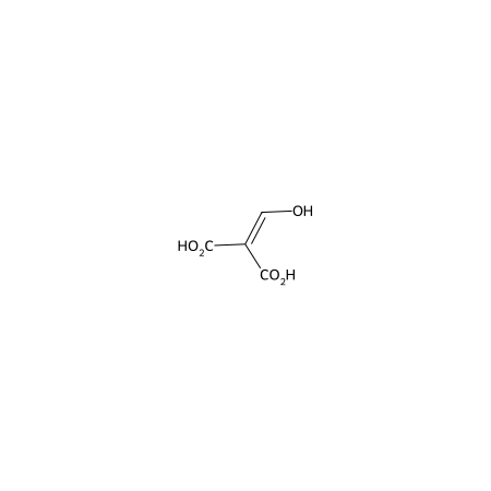 O=C(O)C(=CO)C(=O)O